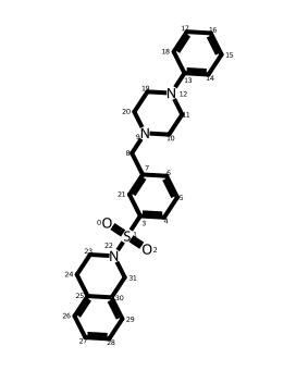 O=S(=O)(c1cccc(CN2CCN(c3ccccc3)CC2)c1)N1CCc2ccccc2C1